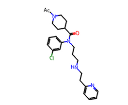 CC(=O)N1CCC(C(=O)N(CCCNCCc2ccccn2)c2cccc(Cl)c2)CC1